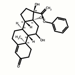 C=C(Oc1ccccc1)[C@@]1(O)CC[C@H]2[C@@H]3CCC4=CC(=O)CC[C@]4(C)[C@H]3C(O)C[C@@]21C